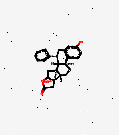 C[C@]12CC[C@@H]3c4ccc(O)cc4C[C@@H](c4ccccc4)[C@H]3[C@@H]1CC1OC(=O)C[C@@]12O